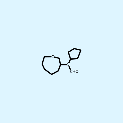 O=[C]N(C1CCCCCCC1)C1CCCC1